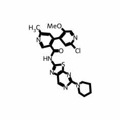 COc1cnc(Cl)cc1-c1cc(C)ncc1C(=O)Nc1nc2cnc(N3CCCCC3)nc2s1